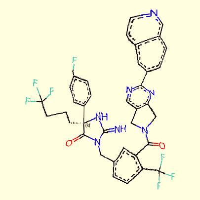 N=C1N[C@](CCCC(F)(F)F)(c2ccc(F)cc2)C(=O)N1Cc1ccc(C(F)(F)F)c(C(=O)N2Cc3cnc(-c4ccc5cnccc5c4)nc3C2)c1